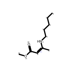 CCCCCN/C(C)=C\C(=O)OC